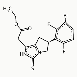 CCOC(=O)Cc1[nH]c(=S)n2c1C[C@@H](c1c(F)ccc(Br)c1F)C2